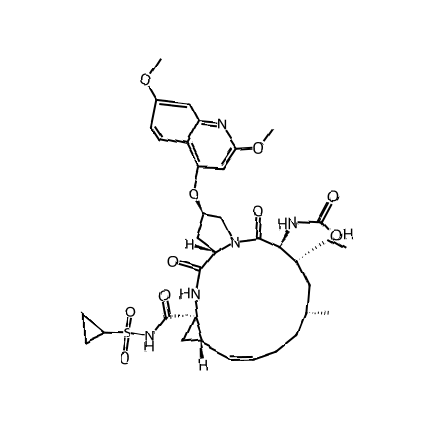 CC[C@@H]1C[C@H](C)CCC=C[C@@H]2C[C@@]2(C(=O)NS(=O)(=O)C2CC2)NC(=O)[C@@H]2C[C@@H](Oc3cc(OC)nc4cc(OC)ccc34)CN2C(=O)[C@H]1NC(=O)O